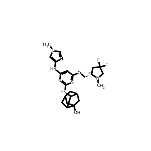 CN1CC(F)(F)C[C@H]1COc1cc(Nc2cn(C)cn2)nc(NC2C3CC4CC2C(O)(C4)C3)n1